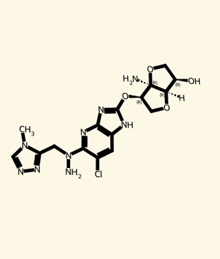 Cn1cnnc1CN(N)c1nc2nc(O[C@@H]3CO[C@@H]4[C@H](O)CO[C@@]43N)[nH]c2cc1Cl